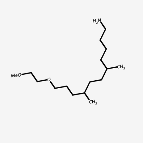 COCCOCCCC(C)CCC(C)CCCCN